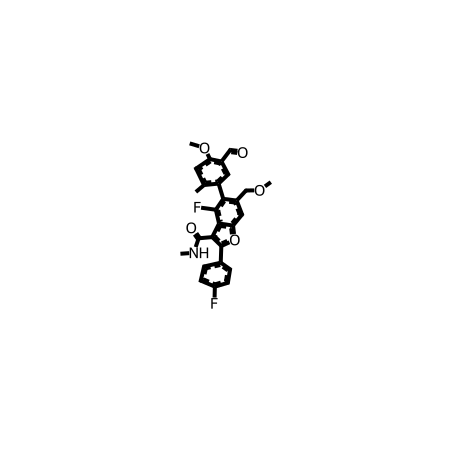 CNC(=O)c1c(-c2ccc(F)cc2)oc2cc(COC)c(-c3cc(C=O)c(OC)cc3C)c(F)c12